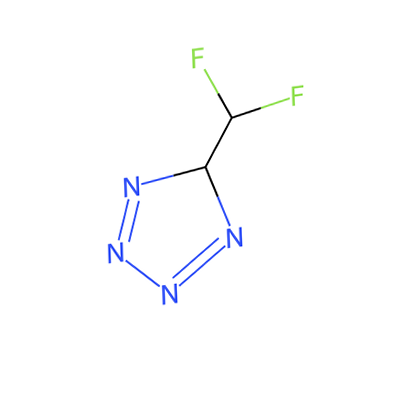 FC(F)C1N=NN=N1